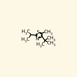 Cc1sc(C(C)C)nc1C(C)(C)C